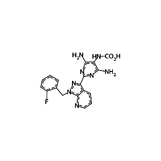 Nc1nc(-c2nn(Cc3ccccc3F)c3ncccc23)nc(N)c1NC(=O)O